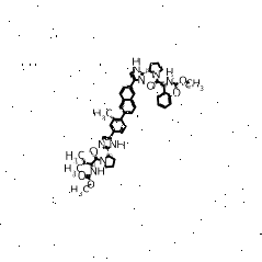 COC(=O)N[C@H](C(=O)N1CCC[C@H]1c1ncc(-c2ccc(-c3ccc4cc(-c5c[nH]c([C@@H]6CCCN6C(=O)[C@H](NC(=O)OC)c6ccccc6)n5)ccc4c3)c(C)c2)[nH]1)C(C)C